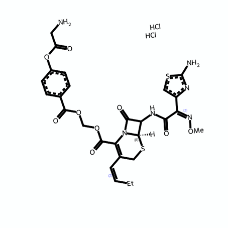 CC/C=C\C1=C(C(=O)OCOC(=O)c2ccc(OC(=O)CN)cc2)N2C(=O)C(NC(=O)/C(=N\OC)c3csc(N)n3)[C@H]2SC1.Cl.Cl